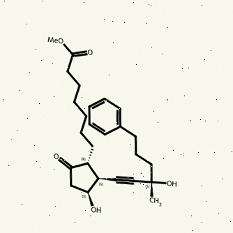 COC(=O)CCCCCC[C@H]1C(=O)C[C@H](O)[C@@H]1C#C[C@@](C)(O)CCCc1ccccc1